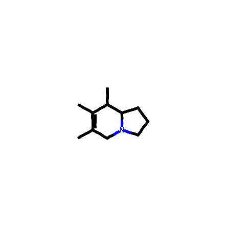 CC1=C(C)C(C)C2CCCN2C1